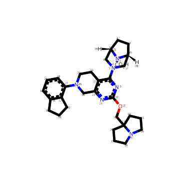 O=C(O)N1[C@@H]2CC[C@H]1CN(c1nc(OCC34CCCN3CCC4)nc3c1CCN(c1cccc4c1CCC4)C3)C2